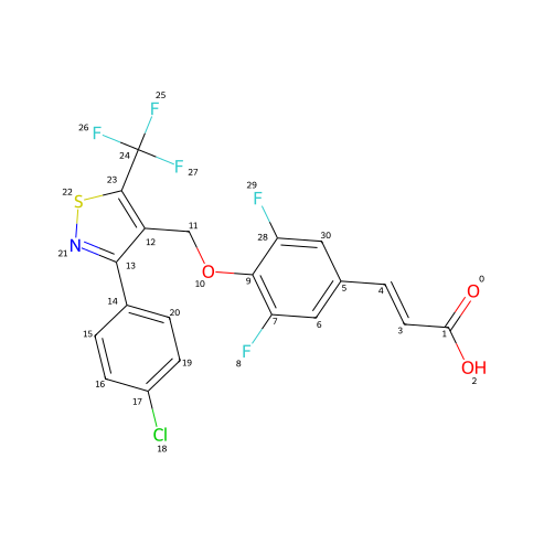 O=C(O)C=Cc1cc(F)c(OCc2c(-c3ccc(Cl)cc3)nsc2C(F)(F)F)c(F)c1